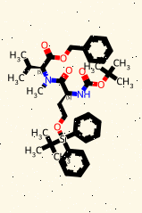 CC(C)[C@@H](C(=O)OCc1ccccc1)N(C)C(=O)[C@H](CCO[Si](c1ccccc1)(c1ccccc1)C(C)(C)C)NC(=O)OC(C)(C)C